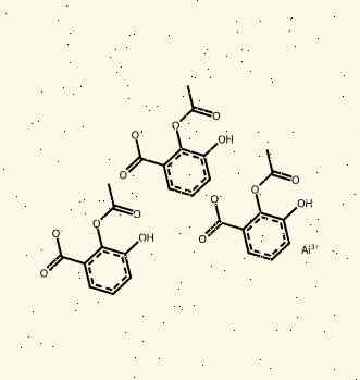 CC(=O)Oc1c(O)cccc1C(=O)[O-].CC(=O)Oc1c(O)cccc1C(=O)[O-].CC(=O)Oc1c(O)cccc1C(=O)[O-].[Al+3]